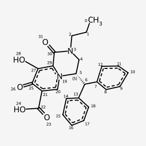 CCCN1C[C@H](C(c2ccccc2)c2ccccc2)n2cc(C(=O)O)c(=O)c(O)c2C1=O